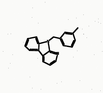 Cc1cccc(Cn2c3ccccc3c3cccnc32)c1